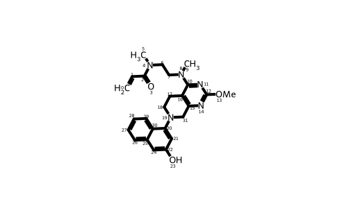 C=CC(=O)N(C)CCN(C)c1nc(OC)nc2c1CCN(c1cc(O)cc3ccccc13)C2